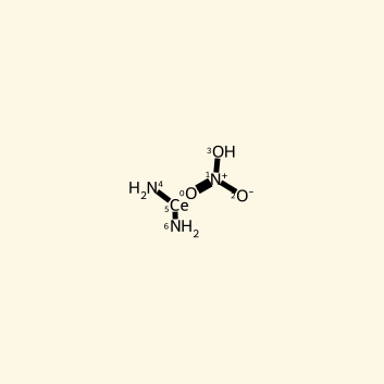 O=[N+]([O-])O.[NH2][Ce][NH2]